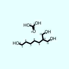 O=C(O)O.OCCCCCC(CO)CO